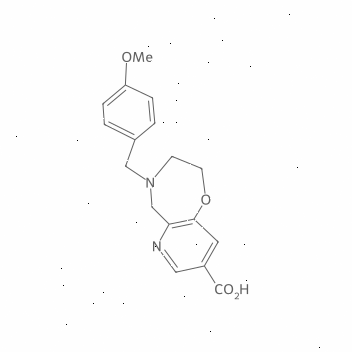 COc1ccc(CN2CCOc3cc(C(=O)O)cnc3C2)cc1